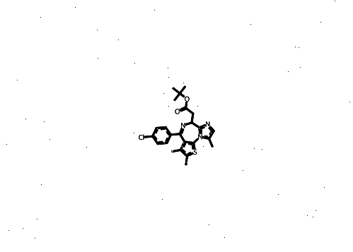 Cc1sc2c(c1C)C(c1ccc(Cl)cc1)=NC(CC(=O)OC(C)(C)C)c1ncc(C)n1-2